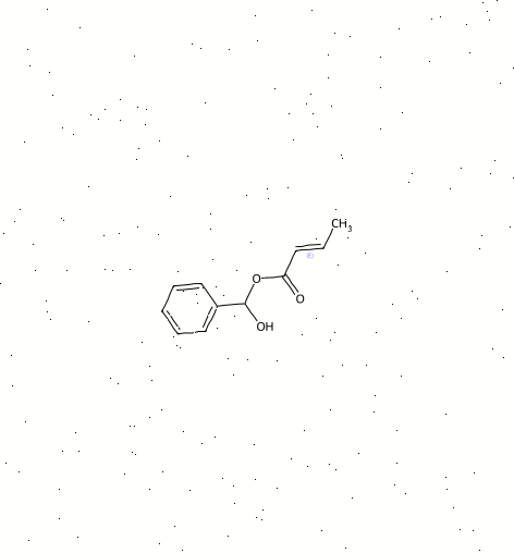 C/C=C/C(=O)OC(O)c1ccccc1